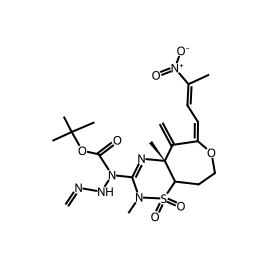 C=NNN(C(=O)OC(C)(C)C)C1=N[C@]2(C)C(=C)/C(=C\C=C(/C)[N+](=O)[O-])OCCC2S(=O)(=O)N1C